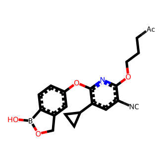 [C-]#[N+]c1cc(C2CC2)c(Oc2ccc3c(c2)COB3O)nc1OCCCC(C)=O